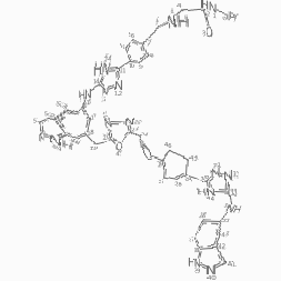 CC(C)NC(=O)CNCc1ccc(-c2nnc(Nc3cc(Cc4nnc(COC5=CC=C(c6nnc(Nc7ccc8[nH]ncc8c7)[nH]6)CC5)o4)c4[nH]ncc4c3)[nH]2)cc1